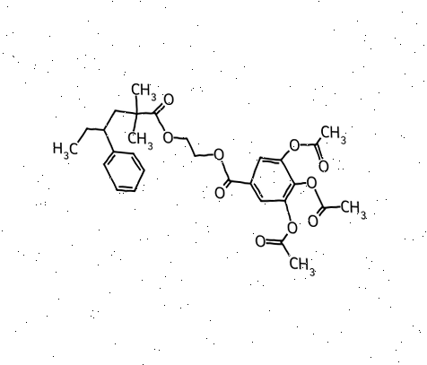 CCC(CC(C)(C)C(=O)OCCOC(=O)c1cc(OC(C)=O)c(OC(C)=O)c(OC(C)=O)c1)c1ccccc1